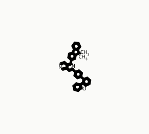 CC1(C)c2ccccc2-c2ccc(-c3nc(-c4ccc(-c5cccc6oc7ccccc7c56)cc4)cc4cnccc34)cc21